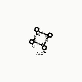 C=COC(C)=O.Clc1cccc2c3nc4nc(nc5[nH]c(nc6nc(nc([nH]3)c12)-c1ccccc1-6)c1ccccc51)-c1ccccc1-4